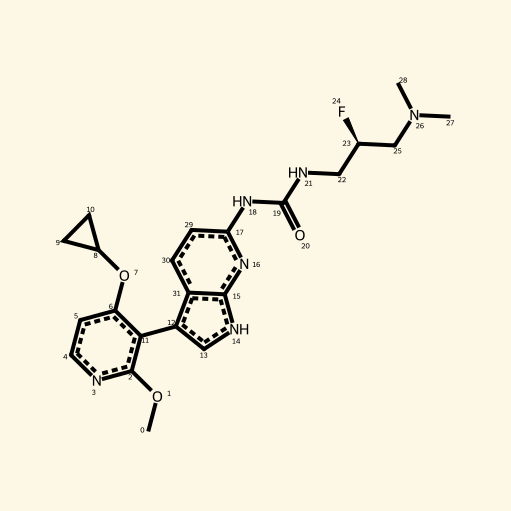 COc1nccc(OC2CC2)c1-c1c[nH]c2nc(NC(=O)NC[C@@H](F)CN(C)C)ccc12